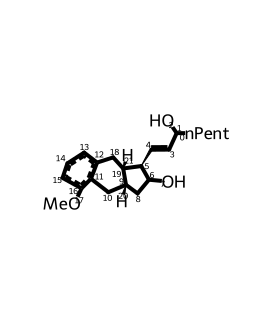 CCCCCC(O)/C=C/[C@H]1C(O)C[C@@H]2Cc3c(cccc3OC)C[C@@H]21